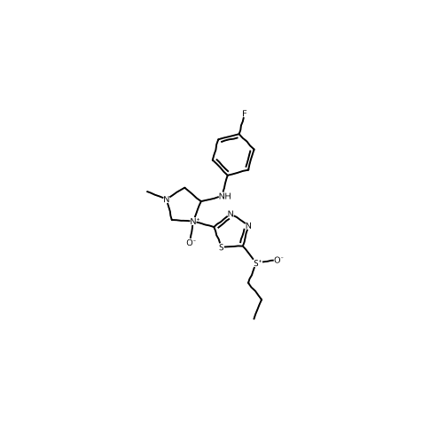 CCC[S+]([O-])c1nnc([N+]2([O-])CN(C)CC2Nc2ccc(F)cc2)s1